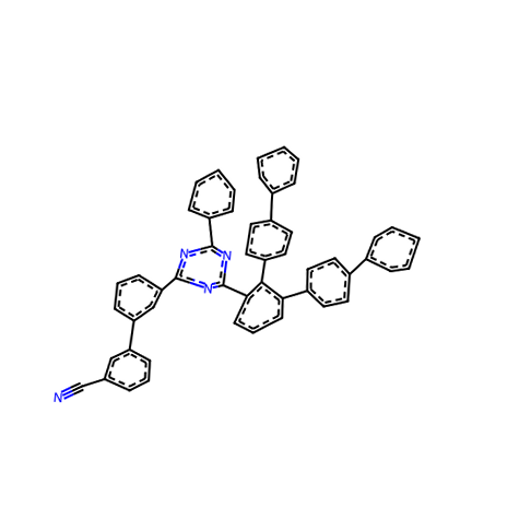 N#Cc1cccc(-c2cccc(-c3nc(-c4ccccc4)nc(-c4cccc(-c5ccc(-c6ccccc6)cc5)c4-c4ccc(-c5ccccc5)cc4)n3)c2)c1